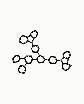 c1ccc(-c2ccc(-c3ccc(-c4ccc(-n5c6ccccc6c6ccccc65)cc4)cc3-c3ccc(-n4c5ccccc5c5ccccc54)cc3)cc2-c2ccccc2)cc1